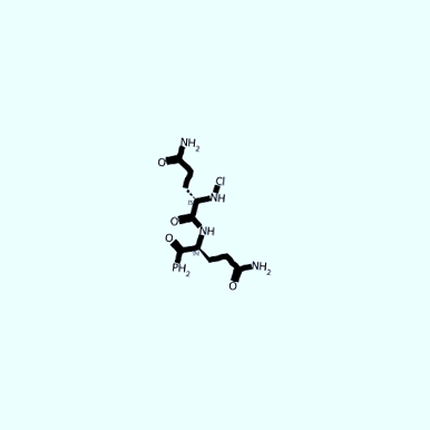 NC(=O)CC[C@H](NC(=O)[C@H](CCC(N)=O)NCl)C(=O)P